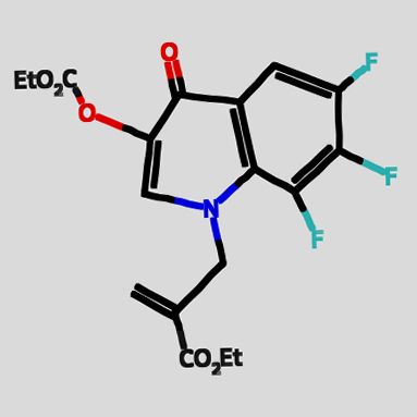 C=C(Cn1cc(OC(=O)OCC)c(=O)c2cc(F)c(F)c(F)c21)C(=O)OCC